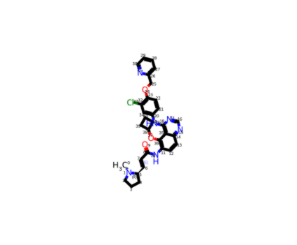 CN1CCC[C@@H]1/C=C/C(=O)Nc1ccc2ncnc(Nc3ccc(OCc4ccccn4)c(Cl)c3)c2c1OC1CCC1